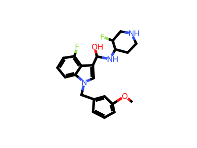 COc1cccc(Cn2cc(C(O)NC3CCNCC3F)c3c(F)cccc32)c1